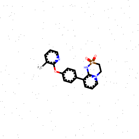 O=S1(=O)CC[n+]2cccc(-c3ccc(Oc4ncccc4C(F)(F)F)cc3)c2N1